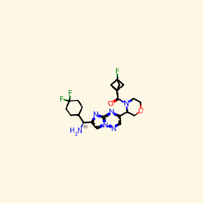 N[C@H](c1cn2ncc(C3COCCN3C(=O)C34CC(F)(C3)C4)nc2n1)C1CCC(F)(F)CC1